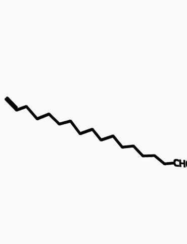 C=CCCCCCCCCCCCCCCC=O